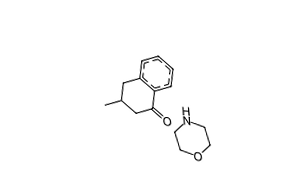 C1COCCN1.CC1CC(=O)c2ccccc2C1